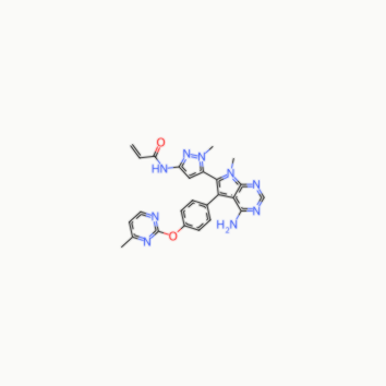 C=CC(=O)Nc1cc(-c2c(-c3ccc(Oc4nccc(C)n4)cc3)c3c(N)ncnc3n2C)n(C)n1